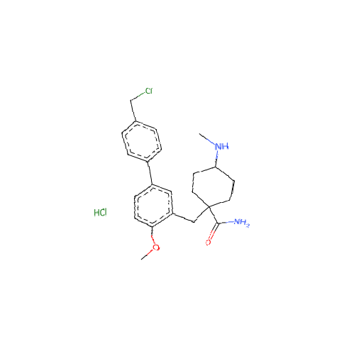 CNC1CCC(Cc2cc(-c3ccc(CCl)cc3)ccc2OC)(C(N)=O)CC1.Cl